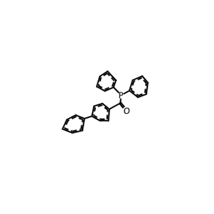 O=C(c1ccc(-c2ccccc2)cc1)P(c1ccccc1)c1ccccc1